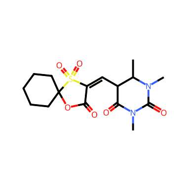 CC1C(/C=C2\C(=O)OC3(CCCCC3)S2(=O)=O)C(=O)N(C)C(=O)N1C